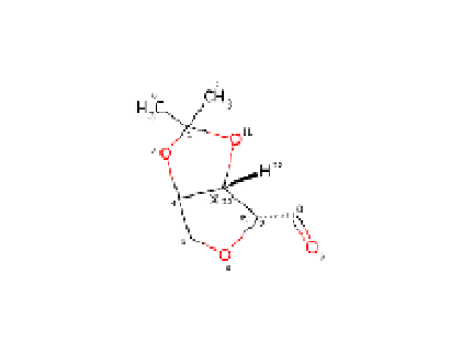 CC1(C)OC2CO[C@@H](C=O)[C@H]2O1